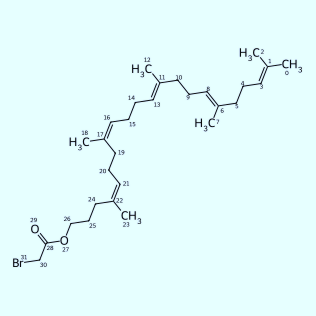 CC(C)=CCCC(C)=CCCC(C)=CCCC=C(C)CCC=C(C)CCCOC(=O)CBr